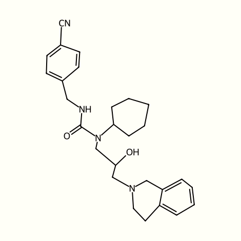 N#Cc1ccc(CNC(=O)N(CC(O)CN2CCc3ccccc3C2)C2CCCCC2)cc1